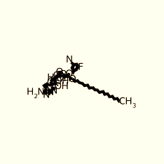 CCCCCCCCCCCCCCCCCCCCOC[C@H](COP(=O)(O)OC1[C@H]2O[C@@](C#N)(c3ccc4c(N)ncnn34)[C@H](O)[C@@]12O)OCc1cc(F)cc(C#N)c1